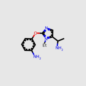 CCn1c(C(C)N)cnc1Oc1cccc(N)c1